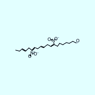 CC/C=C/C/C(=C/C/C=C/C/C=C(/CCCCCC[C]=O)[N+](=O)[O-])[N+](=O)[O-]